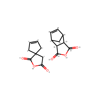 O=C1CC2(CC=CC2)C(=O)O1.O=C1OC(=O)C2C3C=CC(C3)C12